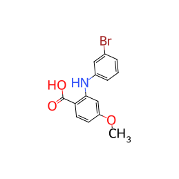 COc1ccc(C(=O)O)c(Nc2cccc(Br)c2)c1